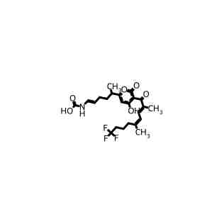 CC(=CC=C(C)C(=O)c1c(O)cc(C(C)CCC=CNC(=O)O)oc1=O)CCCC(F)(F)F